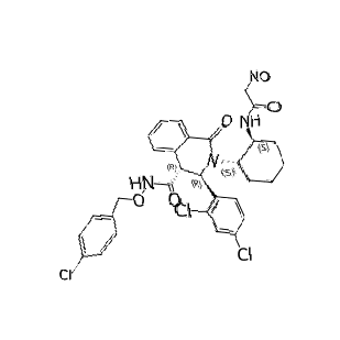 O=NCC(=O)N[C@H]1CCCC[C@@H]1N1C(=O)c2ccccc2[C@@H](C(=O)NOCc2ccc(Cl)cc2)[C@@H]1c1ccc(Cl)cc1Cl